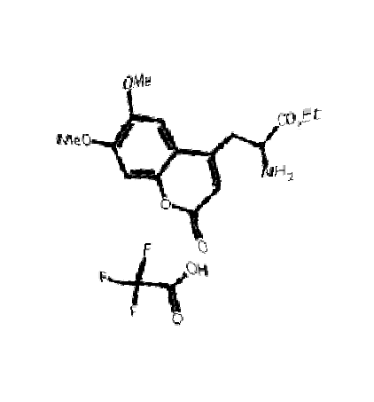 CCOC(=O)C(N)Cc1cc(=O)oc2cc(OC)c(OC)cc12.O=C(O)C(F)(F)F